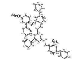 COc1cccc(-c2ccc(-c3ccccc3-c3cc(CCc4cnc(-c5ccccc5)cc4C)cc(CCc4cnc(-c5ccccc5)cc4C)c3)cn2)c1